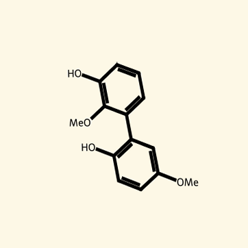 COc1ccc(O)c(-c2cc[c]c(O)c2OC)c1